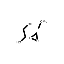 C1OO1.COC.OCCO